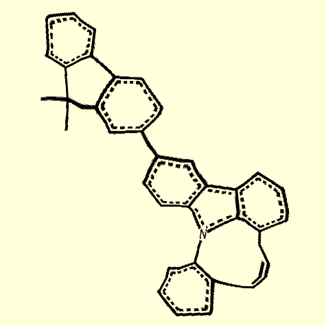 CC1(C)c2ccccc2-c2ccc(-c3ccc4c(c3)c3cccc5c3n4-c3ccccc3C=C5)cc21